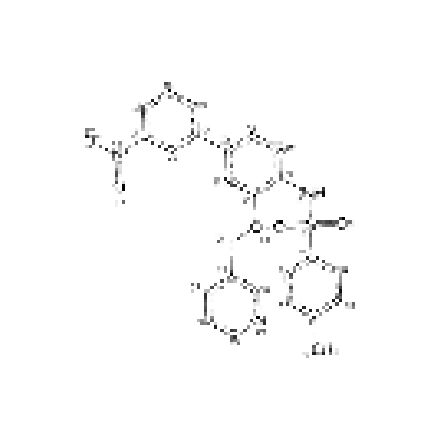 Cc1ccc(S(=O)(=O)Nc2ncc(-c3cccc([N+](=O)[O-])c3)nc2OCc2cccnc2)cc1